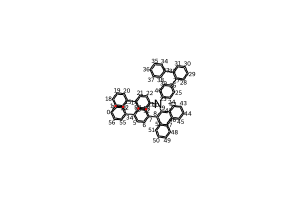 c1ccc(-c2ccc(-c3c(N(c4ccc(-c5ccccc5)cc4)c4ccc(-c5ccccc5-c5ccccc5)cc4)c4ccccc4c4ccccc34)cc2)cc1